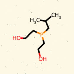 CC(C)CP(CCO)CCO